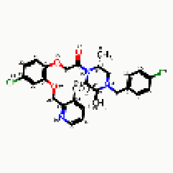 C[C@@H]1CN(Cc2ccc(F)cc2)[C@@H](C)CN1C(=O)COc1ccc(Cl)cc1OCc1ncccc1C(=O)O